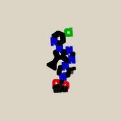 C[C@H]1CN(C(=O)OC(C)(C)C)CCN1c1ncnc2c1c(C1CC1)cn2-c1cc(Cl)ccn1